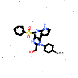 CNC1CCC(n2c(CO)nc3c(S(=O)(=O)c4ccccc4)nc4[nH]ccc4c32)CC1